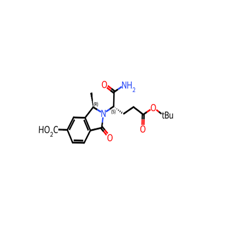 C[C@@H]1c2cc(C(=O)O)ccc2C(=O)N1[C@@H](CCC(=O)OC(C)(C)C)C(N)=O